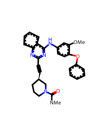 CNC(=O)N1CCC[C@@H](C#Cc2nc(Nc3ccc(Oc4ccccc4)c(OC)c3)c3ccccc3n2)C1